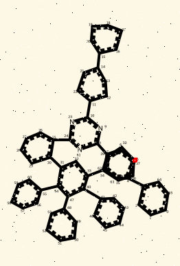 c1ccc(-c2ccc(-c3nc(-c4ccc(-c5ccccc5)cc4)nc(-c4ccccc4-c4cc(-c5ccccc5)c(-c5ccccc5)c(-c5ccccc5)c4-c4ccccc4)n3)cc2)cc1